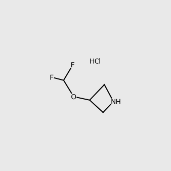 Cl.FC(F)OC1CNC1